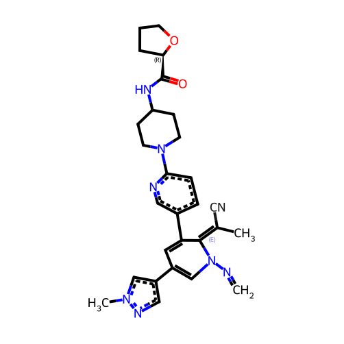 C=NN1C=C(c2cnn(C)c2)C=C(c2ccc(N3CCC(NC(=O)[C@H]4CCCO4)CC3)nc2)/C1=C(/C)C#N